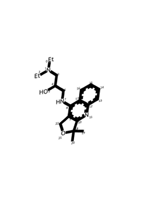 CCN(CC)CC(O)CNc1c2c(nc3ccccc13)C(C)(C)OC2